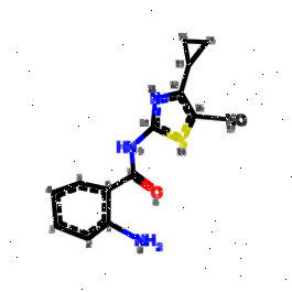 Nc1ccccc1C(=O)Nc1nc(C2CC2)c(N=O)s1